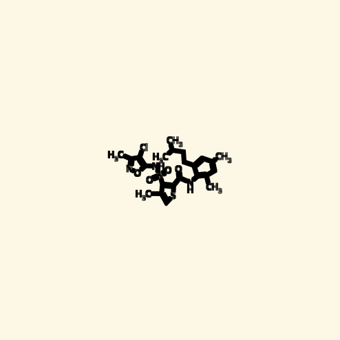 Cc1cc(C)c(NC(=O)c2scc(C)c2S(=O)(=O)Nc2onc(C)c2Cl)c(CCC(C)C)c1